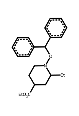 CCOC(=O)C1CCN(OC(c2ccccc2)c2ccccc2)C(CC)C1